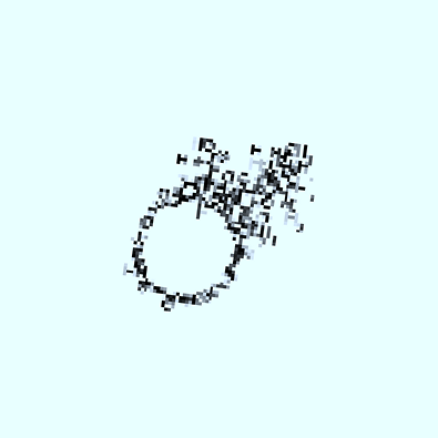 CC[C@H](C)[C@H](NC(=O)C(C)(C)N(C)C)C(=O)N(C)[C@H](C[C@@H](OC(C)=O)c1nc(C(=O)N[C@@H](Cc2ccc3c(c2)NC(=O)CNC(=O)C(C)NC(=O)CCOCCOCCNC(=O)C#CC(=O)NCCOCCOCCC(=O)O3)CC(C)C(=O)O)cs1)C(C)C